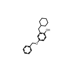 Oc1ccc(OCc2ccccc2)cc1CC1CCCCC1